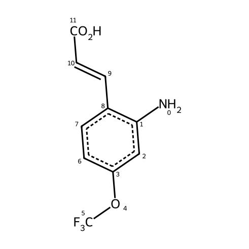 Nc1cc(OC(F)(F)F)ccc1C=CC(=O)O